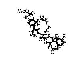 COC(=O)Nc1ccc2c(c1)NC(=O)CCCCC[C@H](C(=O)N1CC[C@@H]3c4c(ccc(Cl)c4F)NC(=O)OC3C1)c1cc-2ccn1